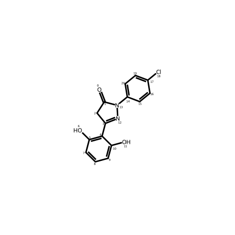 O=C1CC(c2c(O)cccc2O)=NN1c1ccc(Cl)cc1